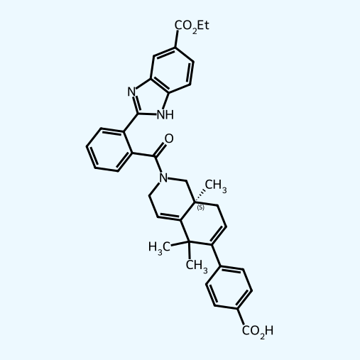 CCOC(=O)c1ccc2[nH]c(-c3ccccc3C(=O)N3CC=C4C(C)(C)C(c5ccc(C(=O)O)cc5)=CC[C@]4(C)C3)nc2c1